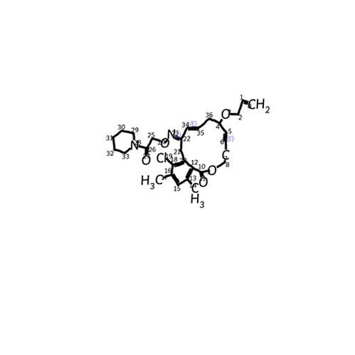 C=CCOC1/C=C/CCOC(=O)c2c(C)cc(C)c(Cl)c2CC(=N\OCC(=O)N2CCCCC2)/C=C/C1